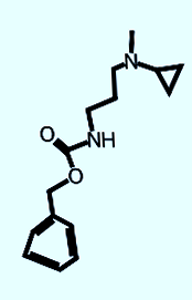 CN(CCCNC(=O)OCc1ccccc1)C1CC1